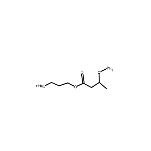 CCCCCCCCCOC(=O)CC(C)OP